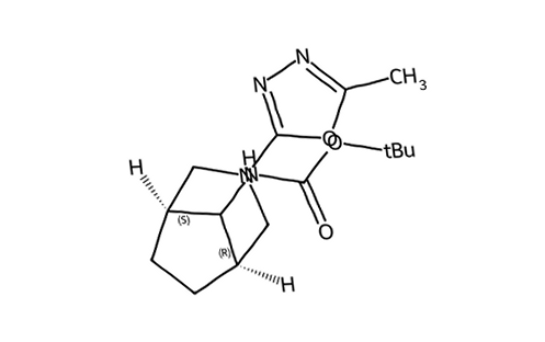 Cc1nnc(N2C[C@H]3CC[C@@H](C2)C3NC(=O)OC(C)(C)C)o1